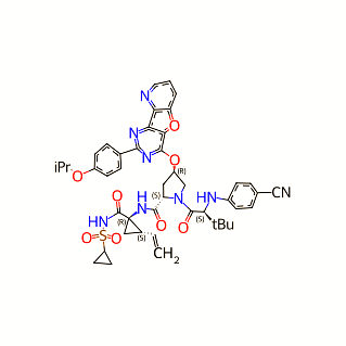 C=C[C@@H]1C[C@]1(NC(=O)[C@@H]1C[C@@H](Oc2nc(-c3ccc(OC(C)C)cc3)nc3c2oc2cccnc23)CN1C(=O)[C@@H](Nc1ccc(C#N)cc1)C(C)(C)C)C(=O)NS(=O)(=O)C1CC1